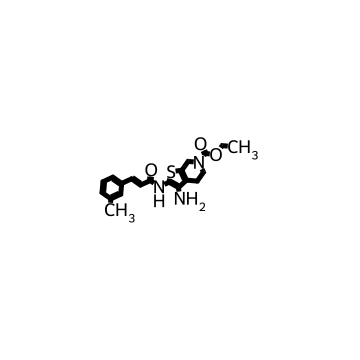 CCOC(=O)N1CCc2c(sc(NC(=O)/C=C/c3cccc(C)c3)c2N)C1